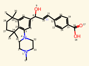 CN1CCN(c2cc(C(O)/C=C/c3ccc(C(=O)O)cc3)cc3c2C(C)(C)CCC3(C)C)CC1